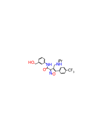 CC(C)NCc1c(C(=O)Nc2cccc(CO)c2)noc1-c1ccc(C(F)(F)F)cc1